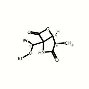 CCO[C@@H](C(C)C)C12NC(=O)[C@H](C)[C@@H]1OC2=O